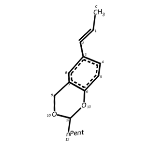 CC=Cc1ccc2c(c1)COC(CCCCC)O2